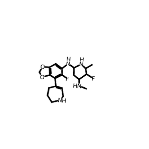 CNC1CC(Nc2cc3c(c(C4=CCNCCC4)c2F)OCO3)NC(C)C1F